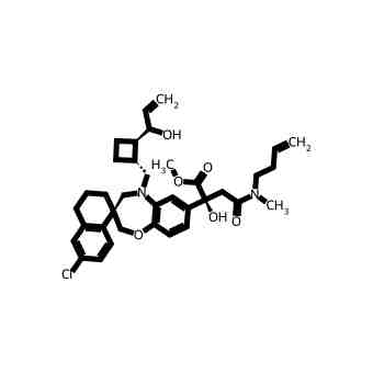 C=CCCN(C)C(=O)C[C@@](O)(C(=O)OC)c1ccc2c(c1)N(C[C@@H]1CC[C@H]1C(O)C=C)C[C@@]1(CCCc3cc(Cl)ccc31)CO2